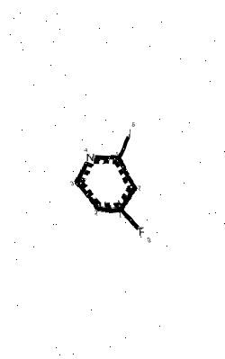 Fc1ccnc(I)c1